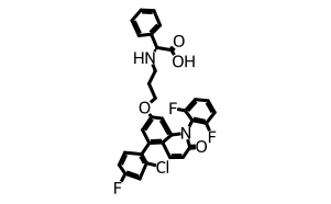 O=C(O)[C@@H](NCCCOc1cc(-c2ccc(F)cc2Cl)c2ccc(=O)n(-c3c(F)cccc3F)c2c1)c1ccccc1